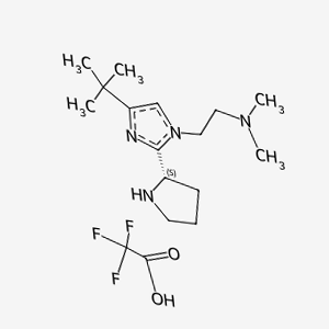 CN(C)CCn1cc(C(C)(C)C)nc1[C@@H]1CCCN1.O=C(O)C(F)(F)F